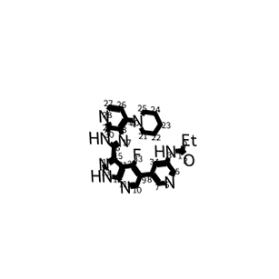 CCC(=O)Nc1cncc(-c2cnc3[nH]nc(-c4nc5c(N6CCCCC6)ccnc5[nH]4)c3c2F)c1